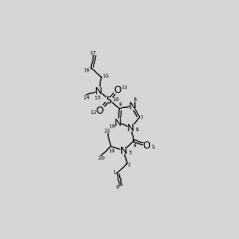 C=CCN(C(=O)n1cnc(S(=O)(=O)N(C)CC=C)n1)C(C)C